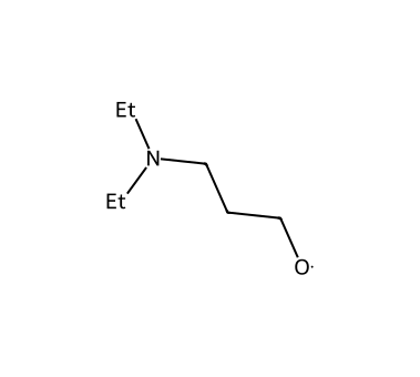 CCN(CC)CCC[O]